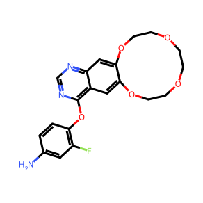 Nc1ccc(Oc2ncnc3cc4c(cc23)OCCOCCOCCO4)c(F)c1